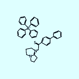 S=C(C[N+]1=C2CCCN2CCC1)c1ccc(-c2ccccc2)cc1.c1ccc([B-](c2ccccc2)(c2ccccc2)c2ccccc2)cc1